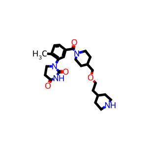 Cc1ccc(C(=O)N2CCC(COCCC3CCNCC3)CC2)cc1N1CCC(=O)NC1=O